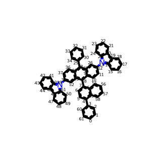 c1ccc(-c2ccc(-c3c4ccc(-n5c6ccccc6c6ccccc65)cc4c(-c4ccccc4)c4ccc(-n5c6ccccc6c6ccccc65)cc34)c3ccccc23)cc1